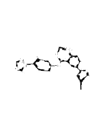 Cc1csc(-c2ccc3ncnc(Nc4ccc(-n5cncn5)cc4)c3c2)c1